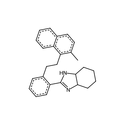 Cc1ccc2ccccc2c1CCc1ccccc1C1=NC2CCCCC2N1